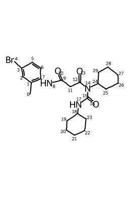 Cc1cc(Br)ccc1NC(=O)CC(=O)N(C(=O)NC1CCCCC1)C1CCCCC1